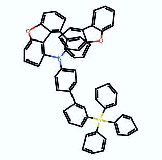 c1ccc(-c2cccc3oc4cccc(N(c5ccc(-c6cccc(S(c7ccccc7)(c7ccccc7)c7ccccc7)c6)cc5)c5ccc6c(c5)oc5ccccc56)c4c23)cc1